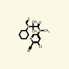 CN(C(=O)C(C)(C)N(C=S)C1CCCCC1)c1cnc(C#N)c(Cl)c1